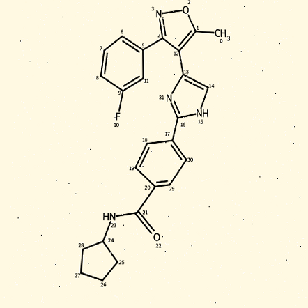 Cc1onc(-c2cccc(F)c2)c1-c1c[nH]c(-c2ccc(C(=O)NC3CCCC3)cc2)n1